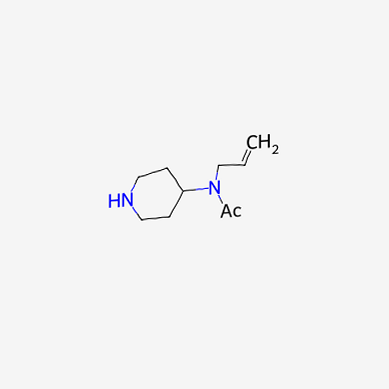 C=CCN(C(C)=O)C1CCNCC1